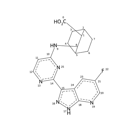 O=C(O)C1C2CCC(CC2)C1Nc1ccnc(-c2n[nH]c3ncc(F)cc23)n1